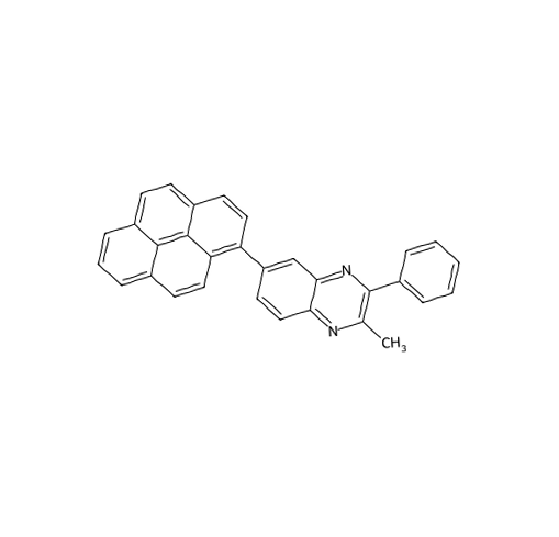 Cc1nc2ccc(-c3ccc4ccc5cccc6ccc3c4c56)cc2nc1-c1ccccc1